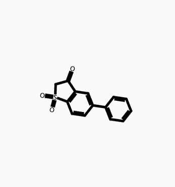 O=C1CS(=O)(=O)c2ccc(-c3ccccc3)cc21